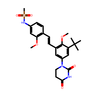 COc1cc(NS(C)(=O)=O)ccc1/C=C/c1cc(N2CCC(=O)NC2=O)cc(C(C)(C)C)c1OC